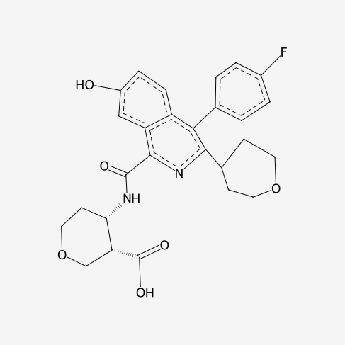 O=C(N[C@H]1CCOC[C@H]1C(=O)O)c1nc(C2CCOCC2)c(-c2ccc(F)cc2)c2ccc(O)cc12